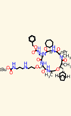 CCC[C@H]1C(=O)N[C@@H](C2CCCCCC2)C(=O)N[C@@H](CNC(=O)OCc2ccccc2)C(=O)N[C@@H](COCCCNCCCNC(=O)OC(C)(C)C)C(=O)N[C@H](C)CO[C@H](C[C@@H]2C[C@@H]3CC[C@@H](C3)C2)[C@@H](C)C(=O)N1C